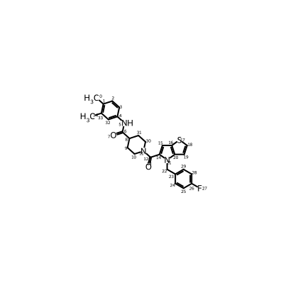 Cc1ccc(NC(=O)C2CCN(C(=O)c3cc4sccc4n3Cc3ccc(F)cc3)CC2)cc1C